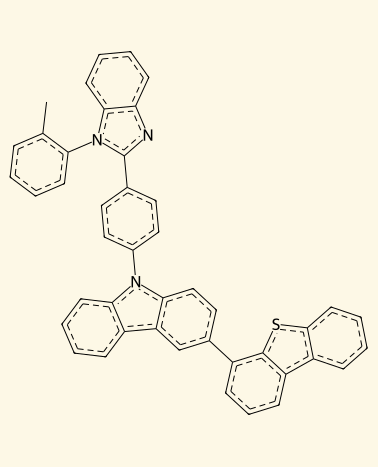 Cc1ccccc1-n1c(-c2ccc(-n3c4ccccc4c4cc(-c5cccc6c5sc5ccccc56)ccc43)cc2)nc2ccccc21